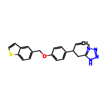 C=CC(Cc1nnn[nH]1)c1ccc(OCc2ccc3sccc3c2)cc1